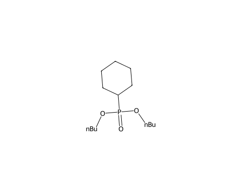 CCCCOP(=O)(OCCCC)C1CCCCC1